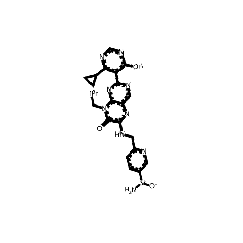 CC(C)Cn1c(=O)c(NCc2ccc([S+](N)[O-])cn2)nc2cnc(-c3c(O)ncnc3C3CC3)nc21